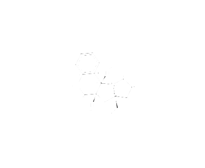 OC[C@]12CCCN1[C@H]1c3ccccc3OC[C@H]1C2